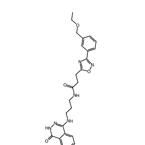 CCOCc1cccc(-c2noc(CCC(=O)NCCCNc3n[nH]c(=O)c4ccccc34)n2)c1